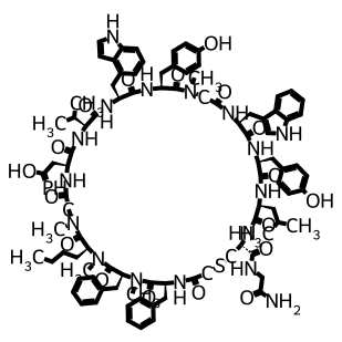 CCCC[C@H]1C(=O)N(C)CC(=O)N[C@@H](CC(O)=P)C(=O)N[C@@H](C(C)C)C(=O)N[C@@H](Cc2cccc3[nH]ccc23)C(=O)N[C@@H](Cc2ccc(O)cc2)C(=O)N(C)CC(=O)N[C@@H](Cc2c[nH]c3ccccc23)C(=O)N[C@@H](Cc2ccc(O)cc2)C(=O)N[C@@H](CC(C)C)C(=O)N[C@H](C(=O)NCC(N)=O)CSCC(=O)N[C@@H](Cc2ccccc2)C(=O)N(C)[C@@H](Cc2ccccc2)C(=O)N1C